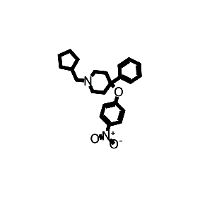 O=[N+]([O-])c1ccc(OC2(c3ccccc3)CCN(CC3CCCC3)CC2)cc1